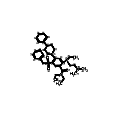 CCN(CC)C(=O)c1cc(S(=O)(=O)Cc2ccccc2)c(N2CCC(c3ccccc3)CC2)cc1N(CC)CCN(C)C